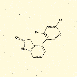 O=C1Cc2c(cccc2-c2ccc(Cl)cc2F)N1